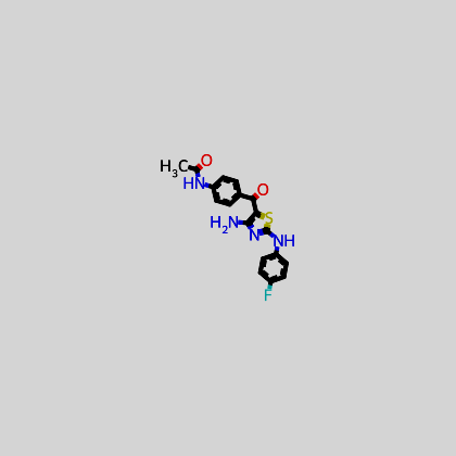 CC(=O)Nc1ccc(C(=O)c2sc(Nc3ccc(F)cc3)nc2N)cc1